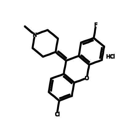 CN1CCC(=C2c3ccc(Cl)cc3Oc3ccc(F)cc32)CC1.Cl